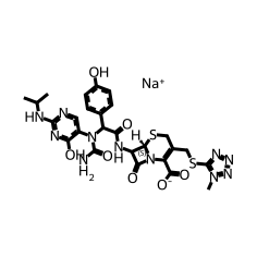 CC(C)Nc1ncc(N(C(N)=O)C(C(=O)NC2C(=O)N3C(C(=O)[O-])=C(CSc4nnnn4C)CS[C@@H]23)c2ccc(O)cc2)c(O)n1.[Na+]